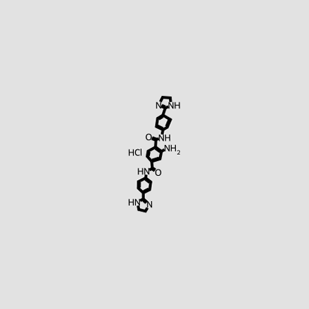 Cl.Nc1cc(C(=O)Nc2ccc(C3=NCCN3)cc2)ccc1C(=O)Nc1ccc(C2=NCCN2)cc1